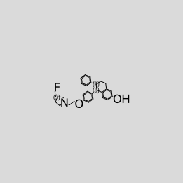 Oc1ccc2c(c1)CC[C@@H](c1ccccc1)[C@H]2c1ccc(OCCN2CC[C@H](CF)C2)cc1